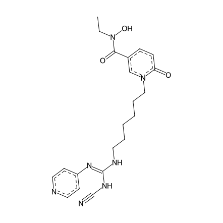 CCN(O)C(=O)c1ccc(=O)n(CCCCCCNC(=Nc2ccncc2)NC#N)c1